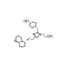 C=CCc1cn(CCO)c(Cc2ccccc2)n1.Cl.c1ccc2ncccc2c1